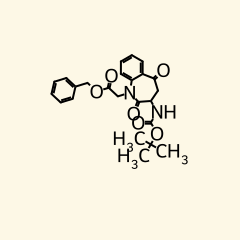 CC(C)(C)OC(=O)NC1CC(=O)c2ccccc2N(CC(=O)OCc2ccccc2)C1=O